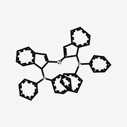 C1=[C]([Zr][C]2=Cc3ccccc3C2P(c2ccccc2)c2ccccc2)C(P(c2ccccc2)c2ccccc2)c2ccccc21